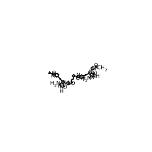 C=CC(=O)N1CC[C@H](n2cc(C#Cc3cc4nc(C5CCC5/C=C/C(=O)N5CC[C@H](n6cc(C#Cc7ccc8oc(C9CC9)nc8c7)c7c(N)n[nH]c(=O)c76)C5)oc4cc3F)c3c(N)n[nH]c(=O)c32)C1